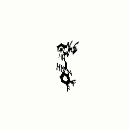 CSc1nc(NCc2nc3c(F)c(F)ccc3[nH]2)n2nccc2n1